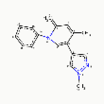 C=C1C=C(C)C(c2cnn(C)c2)=CN1c1ccccc1